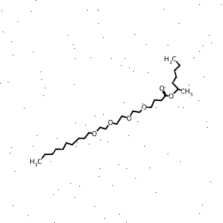 CCCCCCCCCCOCCOCCOCCOCCCC(=O)OC(C)CCCCC